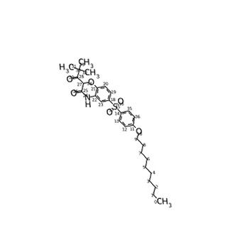 CCCCCCCCCCOc1ccc(S(=O)(=O)c2ccc3c(c2)NC(=O)C(C(=O)C(C)(C)C)O3)cc1